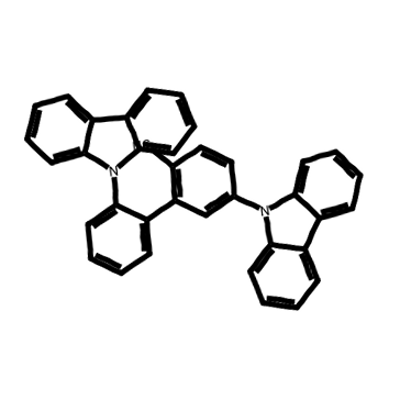 N#Cc1ccc(-n2c3ccccc3c3ccccc32)cc1-c1ccccc1-n1c2ccccc2c2ccccc21